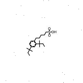 CCC(C)(C)c1ccc(CCCCCS(=O)(=O)O)c(C(C)(C)CC)c1